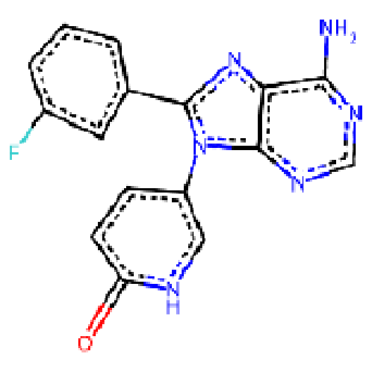 Nc1ncnc2c1nc(-c1cccc(F)c1)n2-c1ccc(=O)[nH]c1